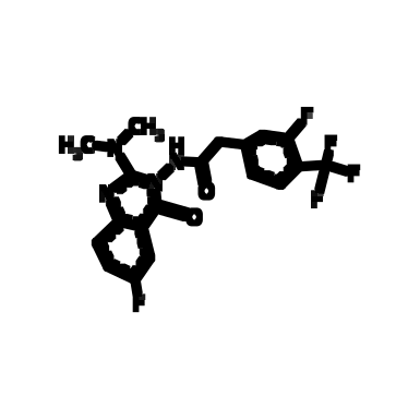 CN(C)c1nc2ccc(F)cc2c(=O)n1NC(=O)Cc1ccc(C(F)(F)F)c(F)c1